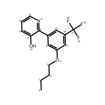 CCCCOc1cc(-c2ncccc2O)cc(C(F)(F)F)c1